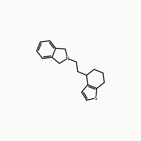 c1ccc2c(c1)CN(CCC1CCCc3sccc31)C2